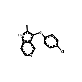 Cc1[nH]c2ccncc2c1Sc1ccc(Cl)cc1